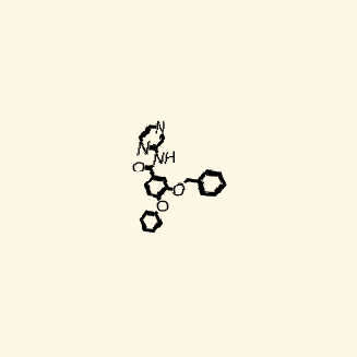 O=C(Nc1cnccn1)c1ccc(Oc2ccccc2)c(OCc2ccccc2)c1